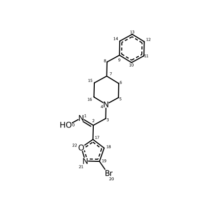 ON=C(CN1CCC(Cc2ccccc2)CC1)c1cc(Br)no1